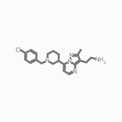 Cc1nn2c(C3CCCN(Cc4ccc(Cl)cc4)C3)ccnc2c1CCN